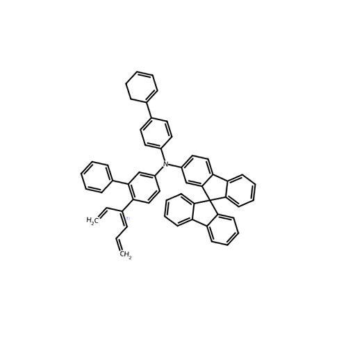 C=C/C=C(\C=C)c1ccc(N(c2ccc(C3=CC=CCC3)cc2)c2ccc3c(c2)C2(c4ccccc4-c4ccccc42)c2ccccc2-3)cc1-c1ccccc1